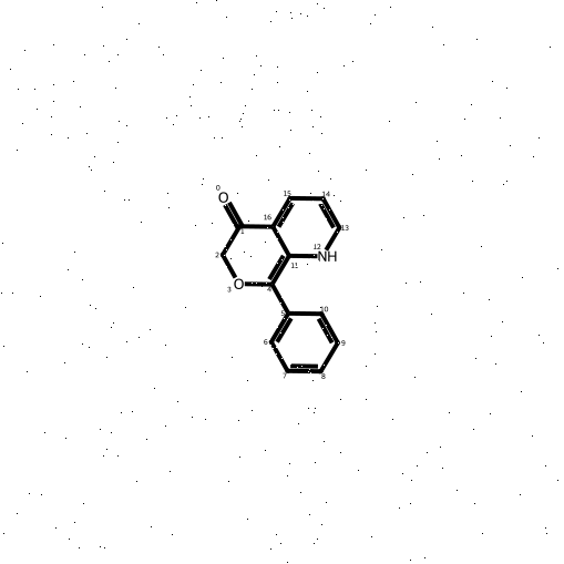 O=C1COC(c2ccccc2)=C2NC=CC=C12